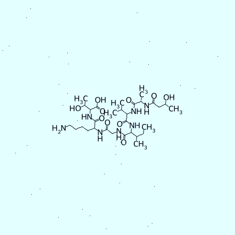 CCC(C)C(NC(=O)C(NC(=O)C(C)NC(=O)CC(C)O)C(C)C)C(=O)NCC(=O)NC(CCCCN)C(=O)NC(C(=O)O)C(C)O